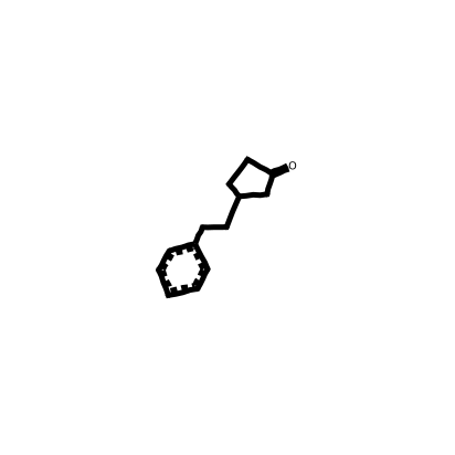 O=C1CCC(CCc2ccccc2)C1